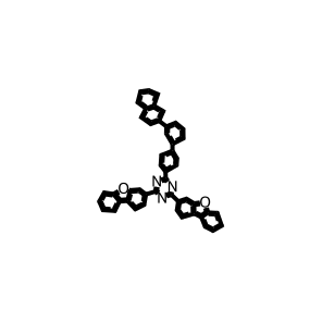 c1cc(-c2ccc(-c3nc(-c4ccc5c(c4)oc4ccccc45)nc(-c4ccc5c(c4)oc4ccccc45)n3)cc2)cc(-c2ccc3ccccc3c2)c1